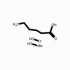 CCCCCC(=O)O.CCCCO.CCO